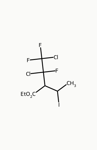 CCOC(=O)C(C(C)I)C(F)(Cl)C(F)(F)Cl